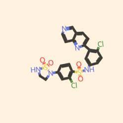 O=S(=O)(Nc1ccc(Cl)c(-c2ccc3cnccc3n2)c1)c1ccc(N2CCNS2(=O)=O)cc1Cl